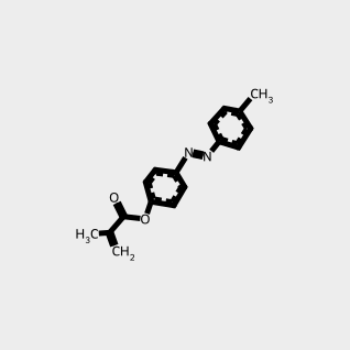 C=C(C)C(=O)Oc1ccc(N=Nc2ccc(C)cc2)cc1